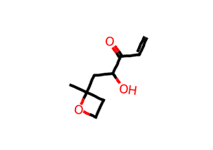 C=CC(=O)C(O)CC1(C)CCO1